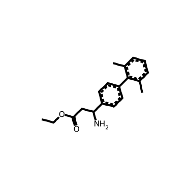 CCOC(=O)CC(N)c1ccc(-c2c(C)cccc2C)cc1